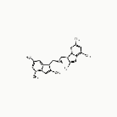 CC1=Cc2c(C)cc(C)cc2C1C[SiH2]CC1C(C)=Cc2c(C)cc(C)cc21